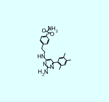 Cc1cc(C)c(-c2cc(NCCc3ccc(S(N)(=O)=O)cc3)nc(N)n2)cc1C